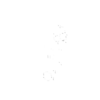 Nc1ncnc2c1ncn2[C@@H]1O[C@H](CN2CCCN(c3ccccn3)CC2)[C@@H](O)[C@H]1O